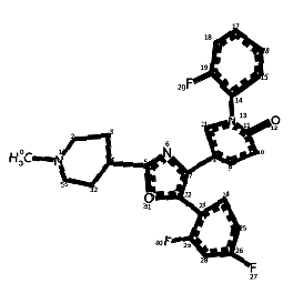 CN1CCC(c2nc(-c3ccc(=O)n(-c4ccccc4F)c3)c(-c3ccc(F)cc3F)o2)CC1